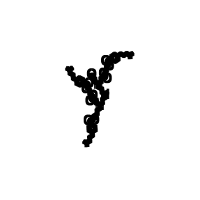 CC(C)=CCCC1=CCC(C(=O)OCCCCN(CCCN(C)CCCN(CCC=O)CCC(=O)OCCOC(=O)C2CC=C(CCC=C(C)C)CC2)CCC(=O)OCCOC(=O)C2CC=C(CCC=C(C)C)CC2)CC1